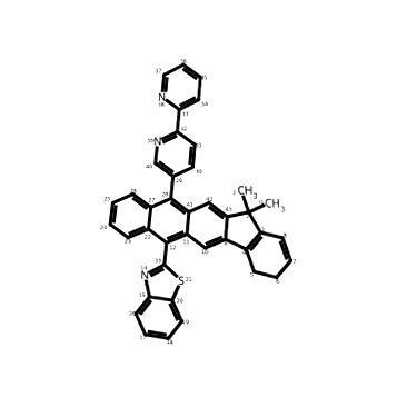 CC1(C)C2=C(CCC=C2)c2cc3c(-c4nc5ccccc5s4)c4ccccc4c(-c4ccc(-c5ccccn5)nc4)c3cc21